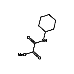 COC(=O)C(=O)NC1CCCCC1